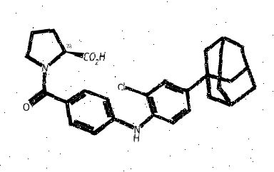 O=C(O)[C@@H]1CCCN1C(=O)c1ccc(Nc2ccc(C34CC5CC(CC(C5)C3)C4)cc2Cl)cc1